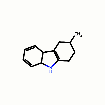 CC1CCC2=C(C1)C1C=CC=CC1N2